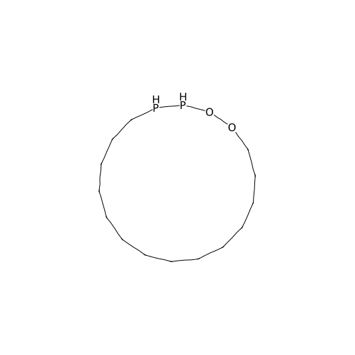 C1CCCCCCCPPOOCCCCCC1